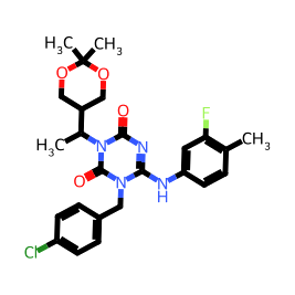 Cc1ccc(Nc2nc(=O)n(C(C)C3COC(C)(C)OC3)c(=O)n2Cc2ccc(Cl)cc2)cc1F